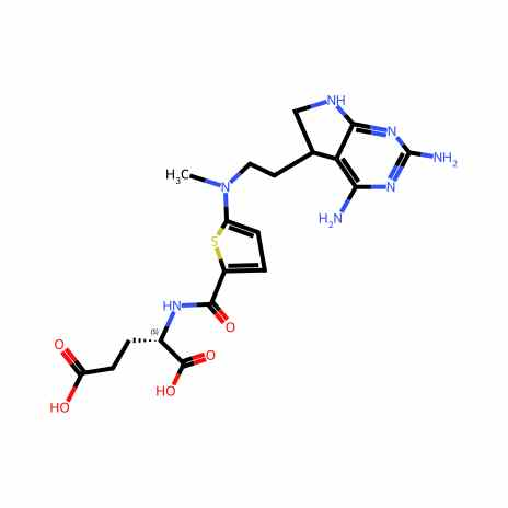 CN(CCC1CNc2nc(N)nc(N)c21)c1ccc(C(=O)N[C@@H](CCC(=O)O)C(=O)O)s1